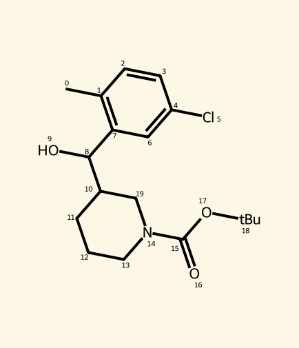 Cc1ccc(Cl)cc1C(O)C1CCCN(C(=O)OC(C)(C)C)C1